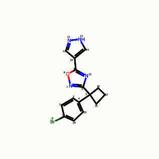 Brc1ccc(C2(c3noc(-c4cn[nH]c4)n3)CCC2)cc1